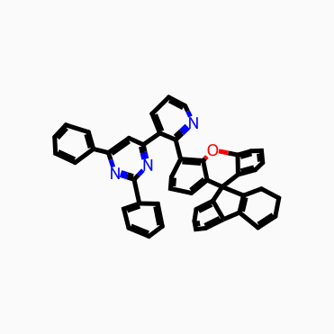 C1=CC2=C(CC1)C1(c3ccccc3Oc3c(-c4ncccc4-c4cc(-c5ccccc5)nc(-c5ccccc5)n4)cccc31)c1ccccc12